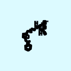 C#CCNC(=C[N+](=O)[O-])NCCSCc1ccc(CN(C)c2ccccc2)o1